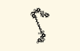 Cn1c(CNc2cccc(C(=O)N[C@H]3CCOc4ccc(OCCCCCOCCCOCC(=O)Nc5cccc6c5CN(C5CCC(=O)NC5=O)C6=O)cc43)c2)nnc1-c1ccncn1